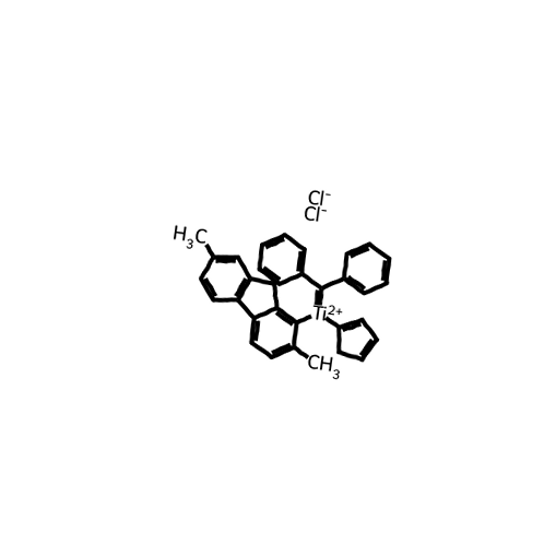 Cc1ccc2c(c1)Cc1c-2ccc(C)[c]1[Ti+2]([C]1=CC=CC1)=[C](c1ccccc1)c1ccccc1.[Cl-].[Cl-]